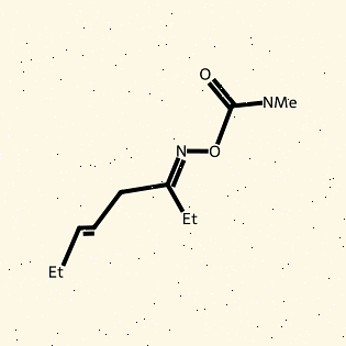 CC/C=C/C/C(CC)=N/OC(=O)NC